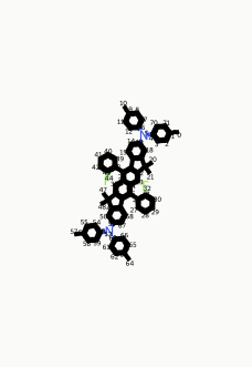 Cc1ccc(N(c2ccc(C)cc2)c2ccc3c(c2)C(C)(C)c2cc4c(-c5ccccc5F)c5c(cc4c(-c4ccccc4F)c2-3)C(C)(C)c2cc(N(c3ccc(C)cc3)c3ccc(C)cc3)ccc2-5)cc1